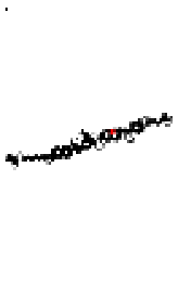 C=C(C)C(=O)OCCCCCCOc1ccc2cc(C(=O)OC3=CC=C(OC(=O)c4ccc5cc(OC(=O)c6ccc(OCCCC7CO7)cc6)ccc5c4)C(CCC)C3)ccc2c1